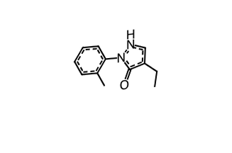 CCc1c[nH]n(-c2ccccc2C)c1=O